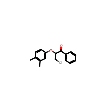 Cc1ccc(OC(CCl)C(=O)c2ccccc2)cc1C